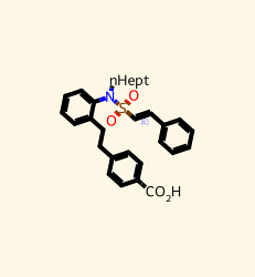 CCCCCCCN(c1ccccc1CCc1ccc(C(=O)O)cc1)S(=O)(=O)/C=C/c1ccccc1